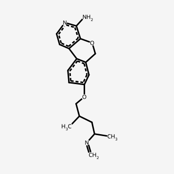 C=NC(C)CC(C)COc1ccc2c(c1)COc1c-2ccnc1N